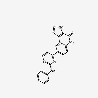 O=c1[nH]c2ccc(-c3ccnc(Nc4ccccc4)n3)cc2c2cc[nH]c12